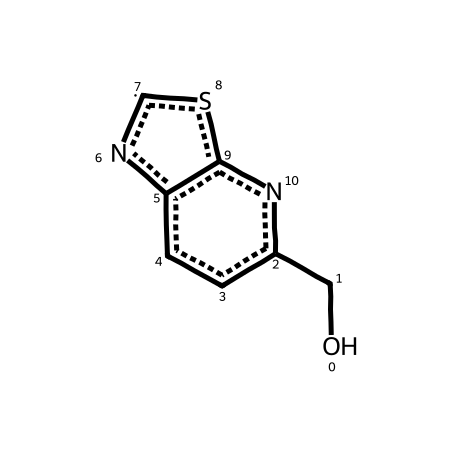 OCc1ccc2n[c]sc2n1